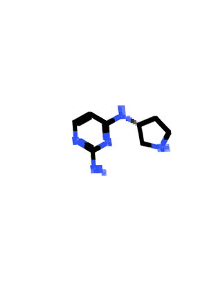 Nc1nccc(N[C@@H]2CCNC2)n1